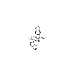 [Li][C]1([Si](C)(C)C2C=Cc3ccccc32)C=C(C(C)C)c2cc3c(cc21)CCC3